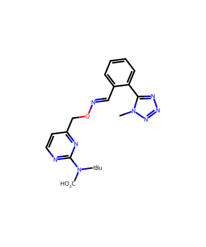 Cn1nnnc1-c1ccccc1C=NOCc1ccnc(N(C(=O)O)C(C)(C)C)n1